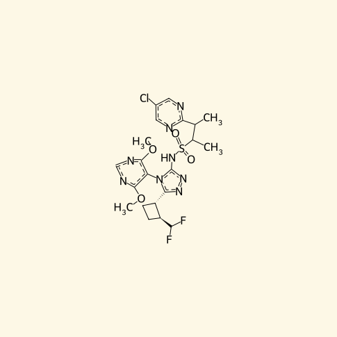 COc1ncnc(OC)c1-n1c(NS(=O)(=O)C(C)C(C)c2ncc(Cl)cn2)nnc1[C@H]1CC[C@@H]1C(F)F